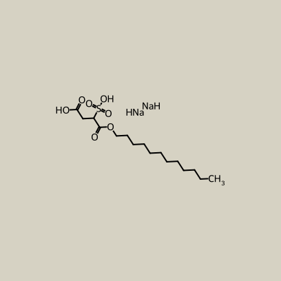 CCCCCCCCCCCCOC(=O)C(CC(=O)O)S(=O)(=O)O.[NaH].[NaH]